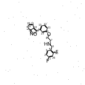 Fc1ccc(CNCCOc2cccc(-c3onc4sccc34)c2)c(F)c1